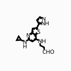 O=CCCNc1cc(NC2CC2)nc2cc(-c3ccn[nH]3)sc12